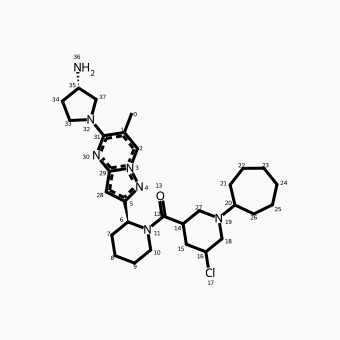 Cc1cn2nc([C@@H]3CCCCN3C(=O)C3CC(Cl)CN(C4CCCCCC4)C3)cc2nc1N1CC[C@H](N)C1